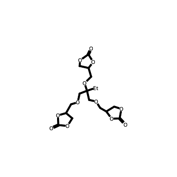 CCC(COCC1COC(=O)O1)(COCC1COC(=O)O1)OCC1COC(=O)O1